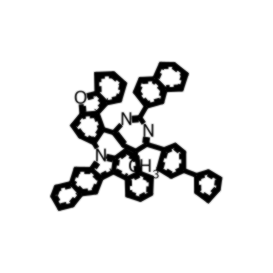 CC1C=C(c2c(-n3c4cc5ccccc5cc4c4c5ccccc5ccc43)ccc3oc4ccccc4c23)N=C(c2ccc3ccccc3c2)N=C1c1ccc(-c2ccccc2)cc1